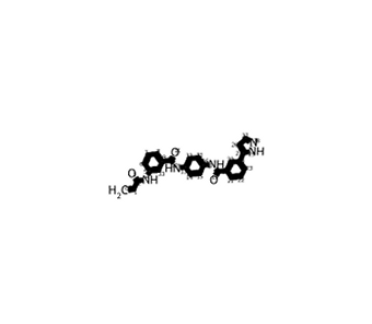 C=CC(=O)Nc1cccc(C(=O)Nc2ccc(NC(=O)c3cccc(-c4ccn[nH]4)c3)cc2)c1